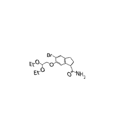 CCOC(COc1cc2c(cc1Br)CCC2C(N)=O)OCC